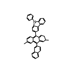 Cc1ccc2c(-c3ccc4c(c3)c3ccccc3n4-c3ccccc3)c3c(c(-c4ccc5ccccc5c4)c2c1)=CC(C)CC=3